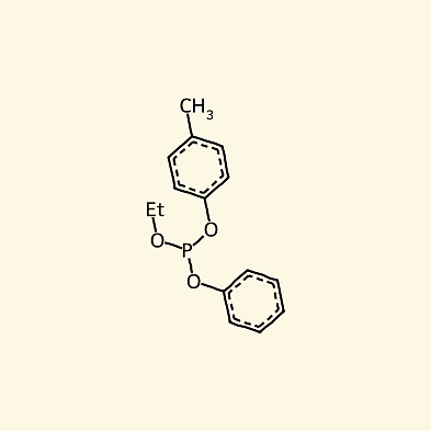 CCOP(Oc1ccccc1)Oc1ccc(C)cc1